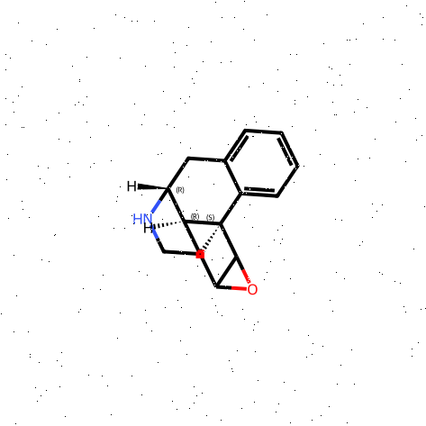 c1ccc2c(c1)C[C@H]1NCC[C@@]23C2OC2CC[C@@H]13